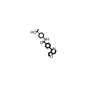 CC(O)[C@H]1CC[C@H](NC(=O)c2ccc(-c3nccc4occc34)cc2)CC1